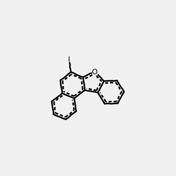 Ic1cc2ccccc2c2c1oc1ccccc12